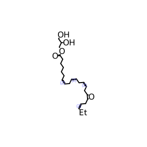 CC/C=C\CC1OC1C/C=C\C/C=C\C/C=C\CCCCCC(=O)OCC(O)CO